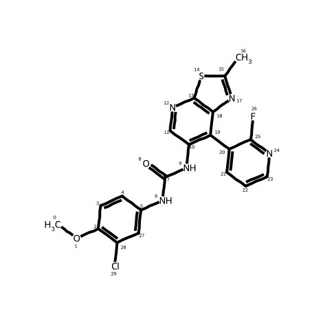 COc1ccc(NC(=O)Nc2cnc3sc(C)nc3c2-c2cccnc2F)cc1Cl